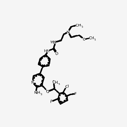 CCN(CCNC(=O)Nc1ccc(-c2cnc(N)c(OC(C)c3c(F)ccc(F)c3Cl)c2)cc1)CCOC